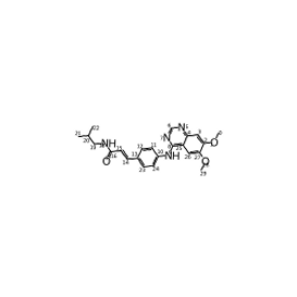 COc1cc2ncnc(Nc3ccc(C=CC(=O)NCC(C)C)cc3)c2cc1OC